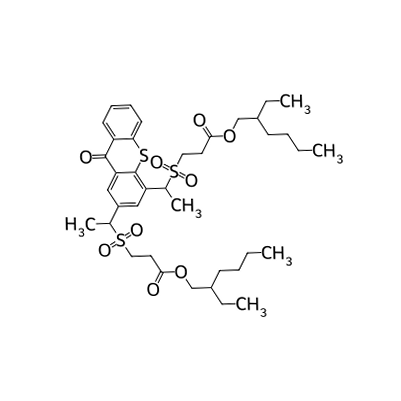 CCCCC(CC)COC(=O)CCS(=O)(=O)C(C)c1cc(C(C)S(=O)(=O)CCC(=O)OCC(CC)CCCC)c2sc3ccccc3c(=O)c2c1